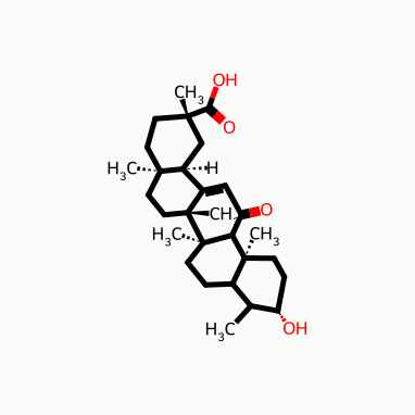 CC1C2CC[C@]3(C)C(C(=O)C=C4[C@@H]5C[C@@](C)(C(=O)O)CC[C@]5(C)CC[C@]43C)[C@@]2(C)CC[C@@H]1O